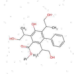 CC(C)OC(=O)c1c(C(C)CO)c(O)c(C(C)CO)c(-c2ccccc2)c1C(C)CO